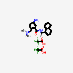 CCCCN(CCCC)Cc1ccc(N)cc1C(=O)N[C@H](C)c1cccc2ccccc12.O=C(O)C(F)(F)F.O=C(O)C(F)(F)F